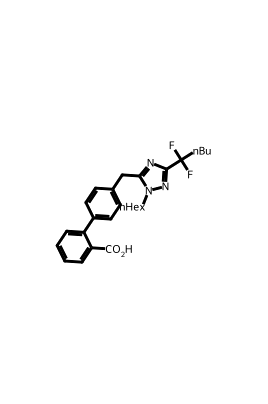 CCCCCCn1nc(C(F)(F)CCCC)nc1Cc1ccc(-c2ccccc2C(=O)O)cc1